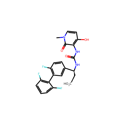 Cn1ccc(O)c(NC(=O)N[C@@H](CC(=O)O)c2ccc(F)c(-c3c(F)cccc3F)c2)c1=O